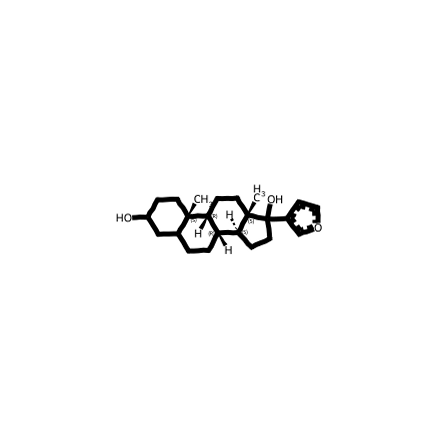 C[C@]12CCC(O)CC1CC[C@@H]1[C@H]2CC[C@@]2(C)[C@H]1CCC2(O)c1ccoc1